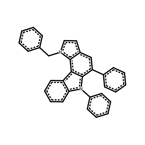 c1ccc(Cn2ccc3cc(-c4ccccc4)c4c(c5ccccc5n4-c4ccccc4)c32)cc1